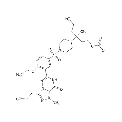 CCCc1nc(C)c2c(=O)[nH]c(-c3cc(S(=O)(=O)N4CCC(C(O)(CCO)CCO[N+](=O)[O-])CC4)ccc3OCC)nn12